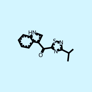 CC(C)c1nsc(C(=O)c2c[nH]c3ccccc23)n1